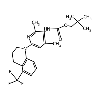 Cc1cc(N2CCCc3c2cccc3C(F)(F)F)nc(C)c1NC(=O)OCC(C)(C)C